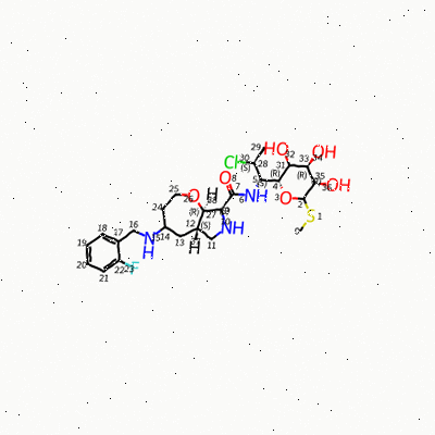 CSC1O[C@H]([C@H](NC(=O)[C@H]2NC[C@@H]3CC(NCc4ccccc4F)CCO[C@H]32)[C@H](C)Cl)C(O)[C@@H](O)[C@H]1O